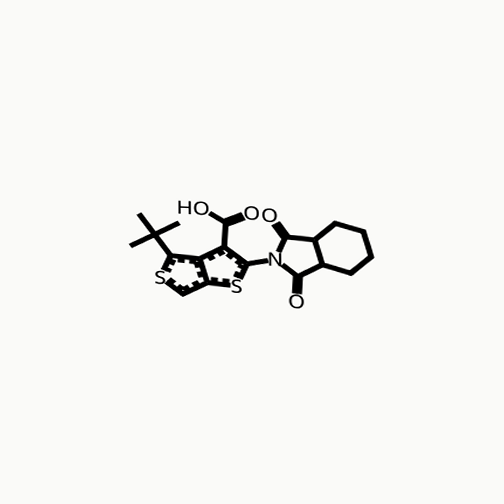 CC(C)(C)c1scc2sc(N3C(=O)C4CCCCC4C3=O)c(C(=O)O)c12